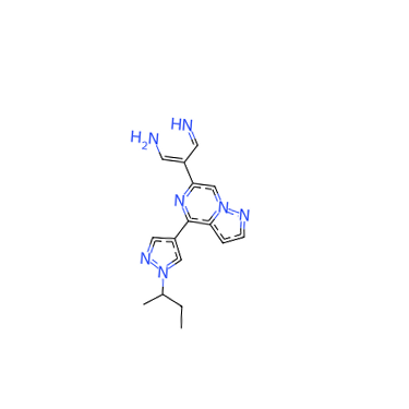 CCC(C)n1cc(-c2nc(/C(C=N)=C/N)cn3nccc23)cn1